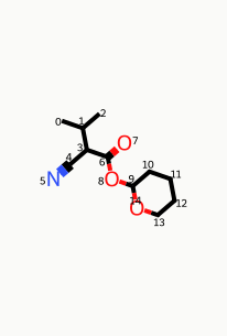 CC(C)C(C#N)C(=O)OC1CCCCO1